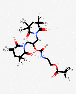 C=C(C)C(=O)OCCNC(=O)OC(CN1C(=O)C(=C)CC(C)(C)C1=O)CN1C(=O)C(C)(C)CC(C)(C)C1=O